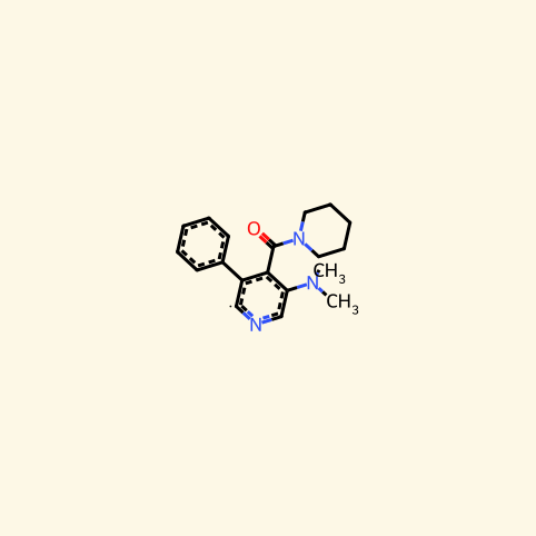 CN(C)c1cn[c]c(-c2ccccc2)c1C(=O)N1CCCCC1